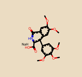 COc1cc2c(-c3cc(OC)c(OC)c(OC)c3)c(C(=O)O)[nH]c(=O)c2cc1OC.[NaH]